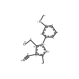 COc1cccc(-n2nc(C)c(C#N)c2CCl)c1